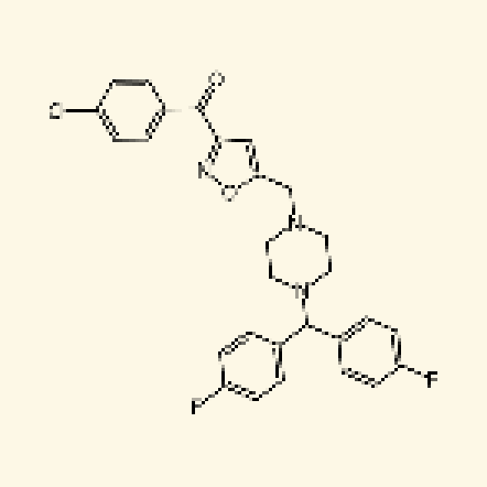 O=C(c1ccc(Cl)cc1)c1cc(CN2CCN(C(c3ccc(F)cc3)c3ccc(F)cc3)CC2)on1